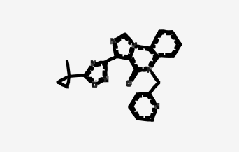 CC1(c2nc(-c3ncn4c3c(=O)n(Cc3ccccn3)c3ccccc34)no2)CC1